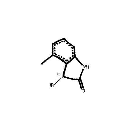 Cc1cccc2c1[C@@H](C(C)C)C(=O)N2